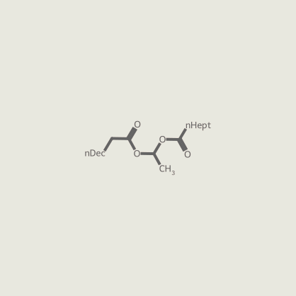 CCCCCCCCCCCC(=O)OC(C)OC(=O)CCCCCCC